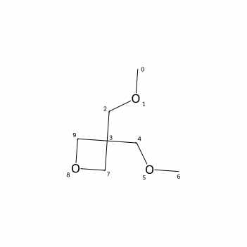 COCC1(COC)COC1